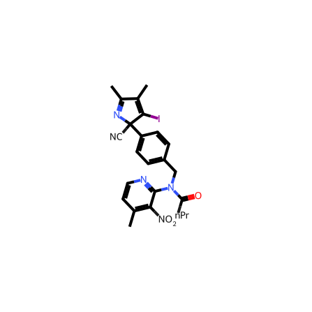 CCCC(=O)N(Cc1ccc(C2(C#N)N=C(C)C(C)=C2I)cc1)c1nccc(C)c1[N+](=O)[O-]